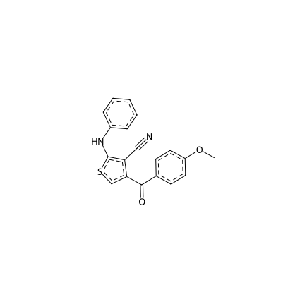 COc1ccc(C(=O)c2csc(Nc3ccccc3)c2C#N)cc1